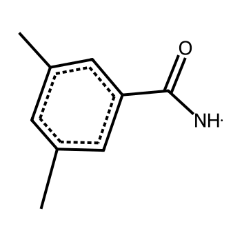 Cc1cc(C)cc(C([NH])=O)c1